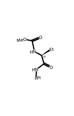 CCCNC(=O)[C@H](CC)NC(=O)OC